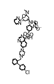 CN(C)C(=O)C[C@H](CSc1ncccn1)Nc1ccc(S(=O)(=O)Nc2ncnc3cc(N4CCN(Cc5ccccc5-c5ccc(Cl)cc5)CC4)ccc23)cc1[N+](=O)[O-]